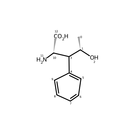 C[C@H](O)C(c1ccccc1)[C@H](N)C(=O)O